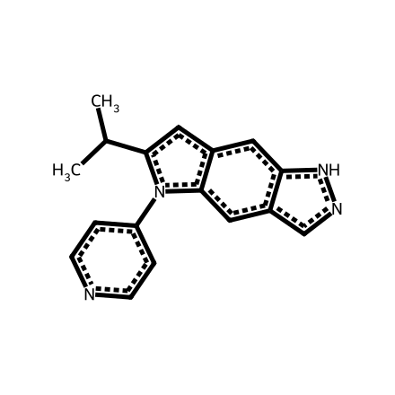 CC(C)c1cc2cc3[nH]ncc3cc2n1-c1ccncc1